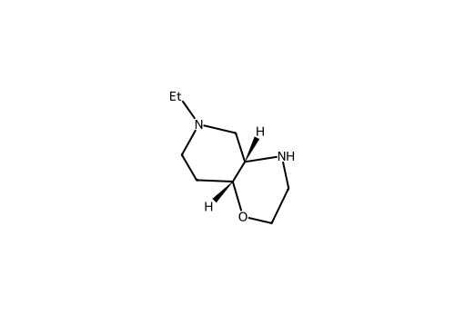 CCN1CC[C@H]2OCCN[C@H]2C1